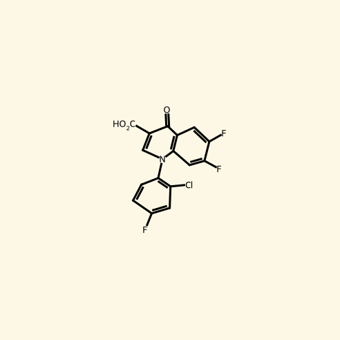 O=C(O)c1cn(-c2ccc(F)cc2Cl)c2cc(F)c(F)cc2c1=O